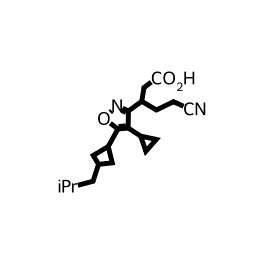 CC(C)CC1CC(c2onc(C(CCC#N)CC(=O)O)c2C2CC2)C1